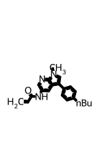 C=CC(=O)Nc1cnc2c(c1)c(-c1ccc(CCCC)cc1)cn2C